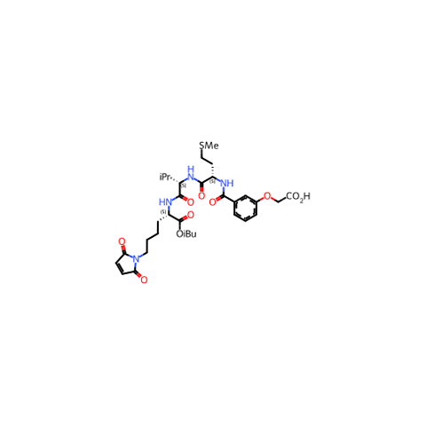 CSCC[C@H](NC(=O)c1cccc(OCC(=O)O)c1)C(=O)N[C@H](C(=O)N[C@@H](CCCCN1C(=O)C=CC1=O)C(=O)OCC(C)C)C(C)C